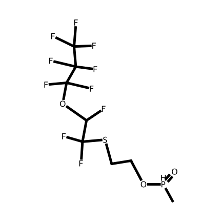 C[PH](=O)OCCSC(F)(F)C(F)OC(F)(F)C(F)(F)C(F)(F)F